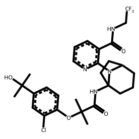 CC(C)(Oc1ccc(C(C)(C)O)cc1Cl)C(=O)NC12CCCC(CC1)N2c1ncccc1C(=O)NCC(F)(F)F